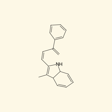 C=C(/C=C\C1=C(C)C2C=CC=CC2N1)c1ccccc1